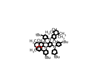 Cc1cc2c(cc1N1c3ccc(C(C)(C)C)cc3B3c4cc5c(cc4N(c4ccc(C(C)(C)C)cc4-c4ccccc4)c4cc(N(c6ccc(C(C)(C)C)cc6)c6ccc(C(C)(C)C)cc6)cc1c43)C(C)(C)CCC5(C)C)C(C)(C)CCC2(C)C